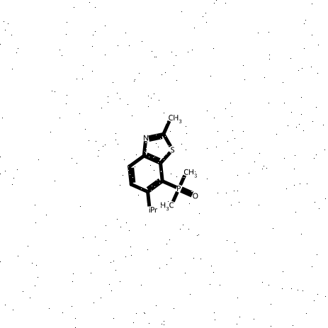 Cc1nc2ccc(C(C)C)c(P(C)(C)=O)c2s1